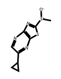 C[S+]([O-])c1nc2ncc(C3CC3)nc2s1